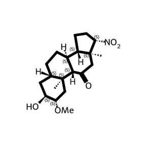 CO[C@H]1C[C@@]2(C)[C@@H](CC[C@H]3[C@@H]4CC[C@H]([N+](=O)[O-])[C@@]4(C)CC(=O)[C@@H]32)C[C@@H]1O